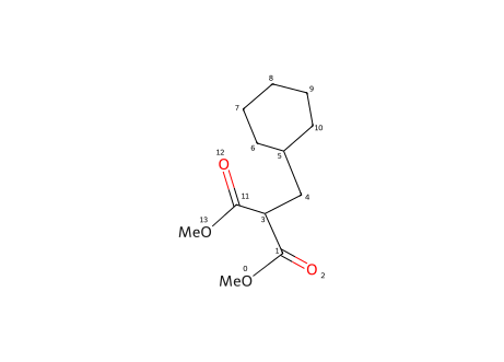 COC(=O)C(CC1CCCCC1)C(=O)OC